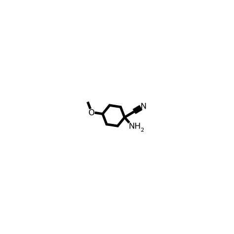 COC1CCC(N)(C#N)CC1